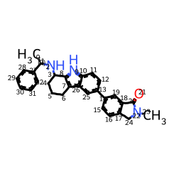 C[C@@H](NC1CCCc2c1[nH]c1ccc(-c3ccc4c(c3)C(=O)N(C)C4)cc21)c1ccccc1